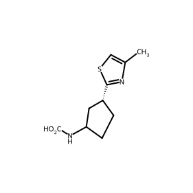 Cc1csc([C@@H]2CCC(NC(=O)O)C2)n1